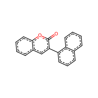 O=c1oc2ccccc2cc1-c1cccc2ccccc12